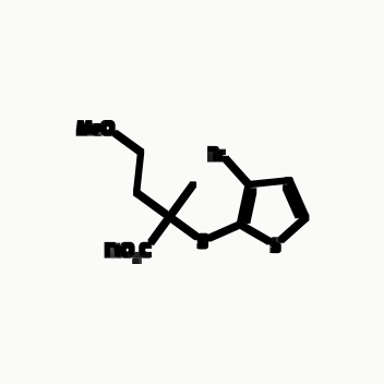 CCOC(=O)C(C)(CCOC)Sc1sccc1Br